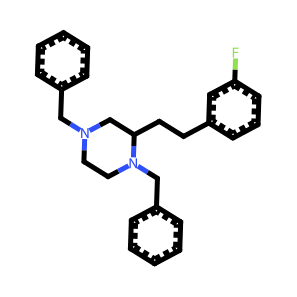 Fc1cccc(CCC2CN(Cc3ccccc3)CCN2Cc2ccccc2)c1